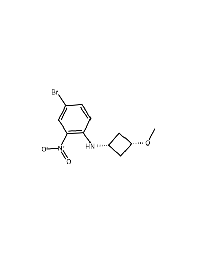 CO[C@H]1C[C@@H](Nc2ccc(Br)cc2[N+](=O)[O-])C1